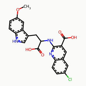 COc1ccc2[nH]cc(CC(Nc3nc4ccc(Cl)cc4cc3C(=O)O)C(=O)O)c2c1